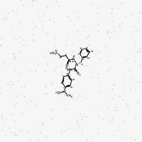 CN(C)c1ccc(NC(=O)[C@@H](Cc2ccccc2)NC(=O)CCC(=O)O)cc1